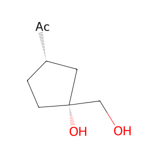 CC(=O)[C@H]1CC[C@](O)(CO)C1